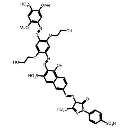 COc1cc(S(=O)(=O)O)c(OC)cc1/N=N/c1cc(OCCO)c(/N=N/c2c(S(=O)(=O)O)cc3cc(/N=N/C4C(=O)N(c5ccc(S(=O)(=O)O)cc5)N=C4C(=O)O)ccc3c2O)cc1OCCO